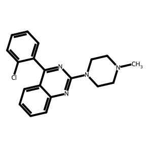 CN1CCN(c2nc(-c3ccccc3Cl)c3ccccc3n2)CC1